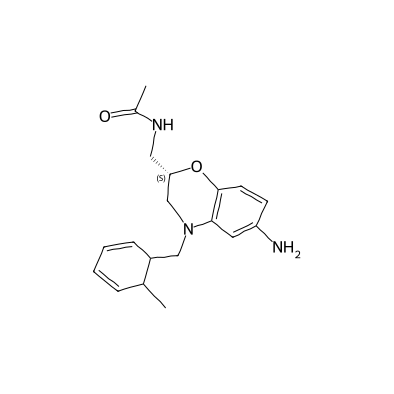 CC(=O)NC[C@H]1CN(CC2C=CC=CC2C)c2cc(N)ccc2O1